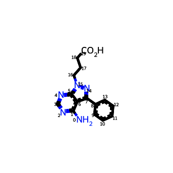 Nc1ncnc2c1c(-c1ccccc1)nn2CCCC(=O)O